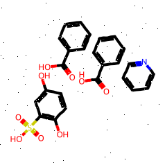 O=C(O)c1ccccc1.O=C(O)c1ccccc1.O=S(=O)(O)c1cc(O)ccc1O.c1ccncc1